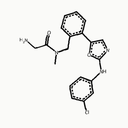 CN(Cc1ccccc1-c1cnc(Nc2cccc(Cl)c2)o1)C(=O)CN